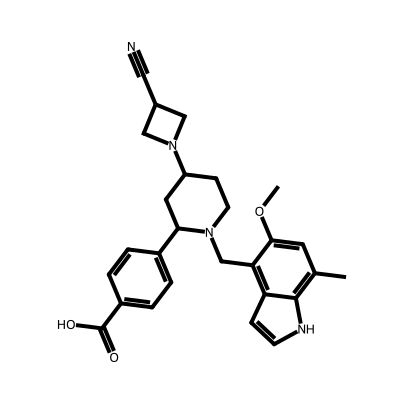 COc1cc(C)c2[nH]ccc2c1CN1CCC(N2CC(C#N)C2)CC1c1ccc(C(=O)O)cc1